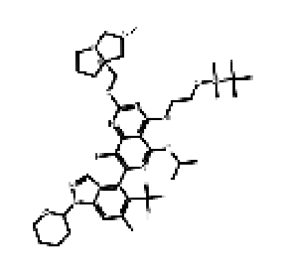 Cc1cc2c(cnn2C2CCCCO2)c(-c2nc(OC(C)C)c3c(NCCO[Si](C)(C)C(C)(C)C)nc(OC[C@@]45CCCN4C[C@H](F)C5)nc3c2F)c1C(F)(F)F